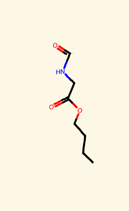 CCCCOC(=O)CN[C]=O